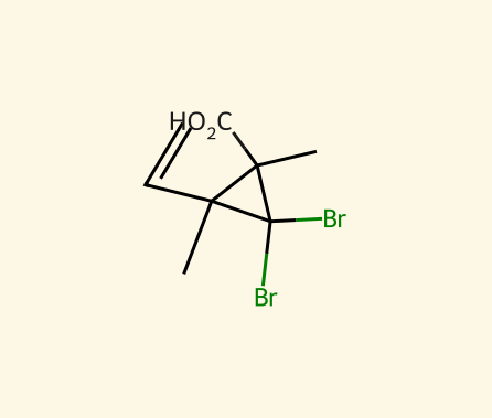 C=CC1(C)C(Br)(Br)C1(C)C(=O)O